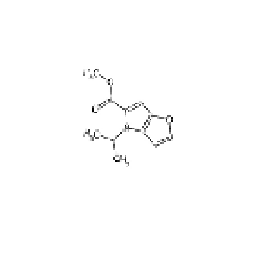 COC(=O)c1cc2occc2n1C(C)C